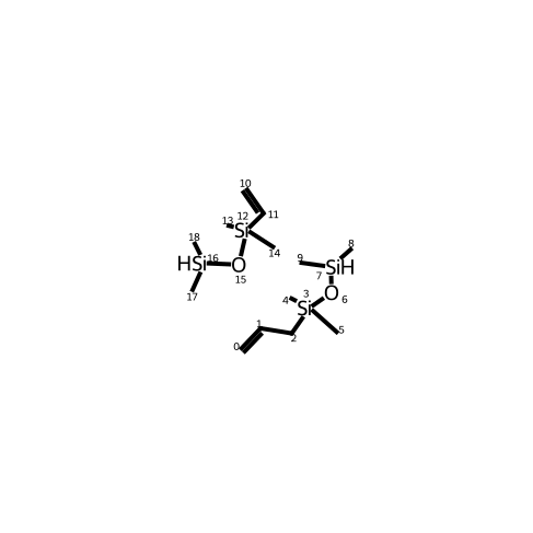 C=CC[Si](C)(C)O[SiH](C)C.C=C[Si](C)(C)O[SiH](C)C